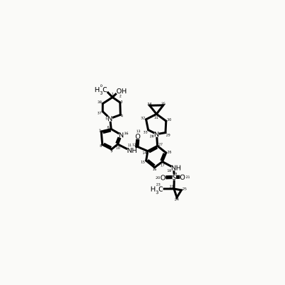 CC1(O)CCN(c2cccc(NC(=O)c3ccc(NS(=O)(=O)C4(C)CC4)cc3N3CCC4(CC3)CC4)n2)CC1